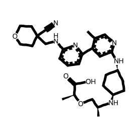 Cc1cnc(N[C@H]2CC[C@H](N[C@@H](C)CO[C@@H](C)C(=O)O)CC2)cc1-c1cccc(NCC2(C#N)CCOCC2)n1